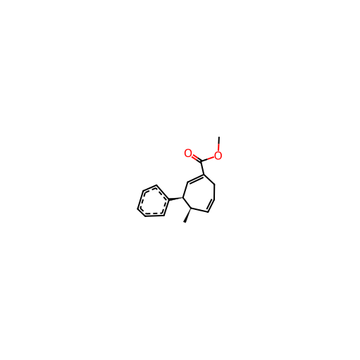 COC(=O)C1=C[C@H](c2ccccc2)[C@H](C)C=CC1